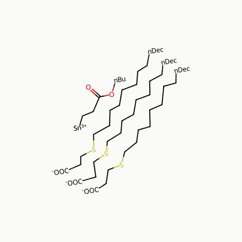 CCCCCCCCCCCCCCCCCCSCCC(=O)[O-].CCCCCCCCCCCCCCCCCCSCCC(=O)[O-].CCCCCCCCCCCCCCCCCCSCCC(=O)[O-].CCCCOC(=O)C[CH2][Sn+3]